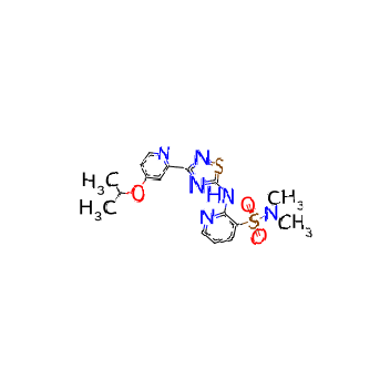 CC(C)Oc1ccnc(-c2nsc(Nc3ncccc3S(=O)(=O)N(C)C)n2)c1